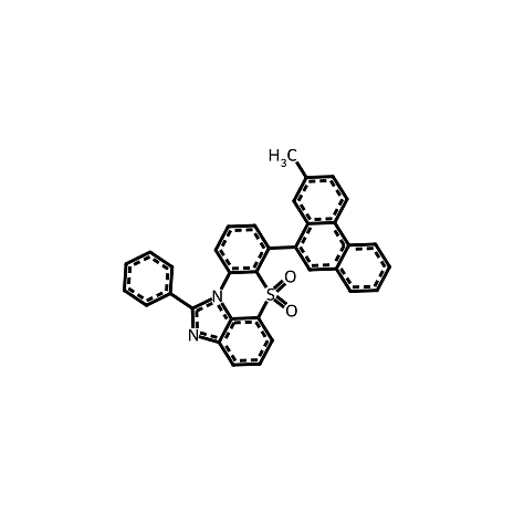 Cc1ccc2c(c1)c(-c1cccc3c1S(=O)(=O)c1cccc4nc(-c5ccccc5)n-3c14)cc1ccccc12